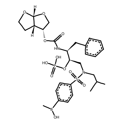 CB(O)c1ccc(S(=O)(=O)N(CC(C)C)C[C@@H](OP(=O)(O)O)[C@H](Cc2ccccc2)NC(=O)O[C@H]2CO[C@H]3OCC[C@H]32)cc1